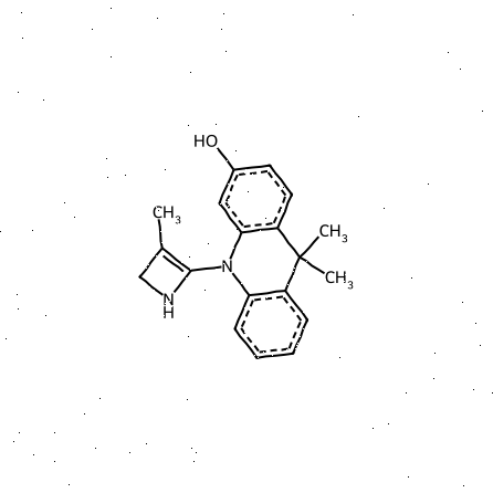 CC1=C(N2c3ccccc3C(C)(C)c3ccc(O)cc32)NC1